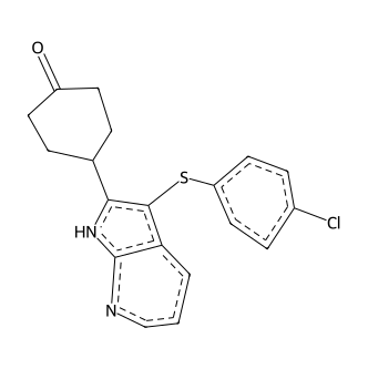 O=C1CCC(c2[nH]c3ncccc3c2Sc2ccc(Cl)cc2)CC1